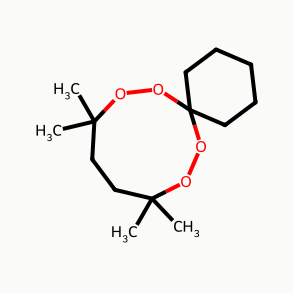 CC1(C)CCC(C)(C)OOC2(CCCCC2)OO1